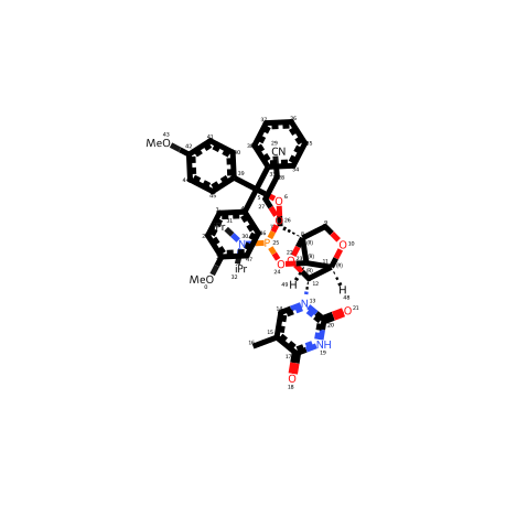 COc1ccc(C(OC[C@@]23CO[C@@H]([C@H](n4cc(C)c(=O)[nH]c4=O)O2)[C@H]3OP(OCCC#N)N(C(C)C)C(C)C)(c2ccccc2)c2ccc(OC)cc2)cc1